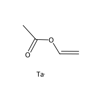 C=COC(C)=O.[Ta]